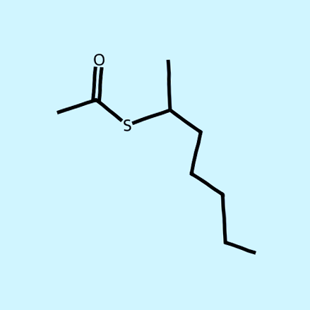 CCCCCC(C)SC(C)=O